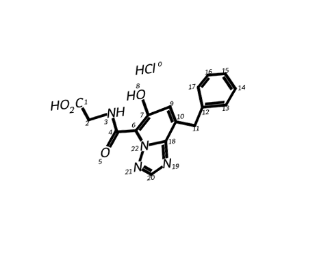 Cl.O=C(O)CNC(=O)c1c(O)cc(Cc2ccccc2)c2ncnn12